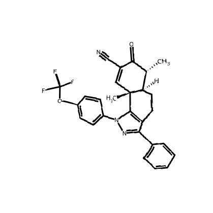 C[C@H]1C(=O)C(C#N)=C[C@@]2(C)c3c(c(-c4ccccc4)nn3-c3ccc(OC(F)(F)F)cc3)CC[C@H]12